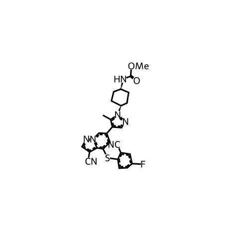 COC(=O)N[C@H]1CC[C@@H](n2ncc(-c3cc(Sc4ccc(F)cc4C#N)c4c(C#N)cnn4c3)c2C)CC1